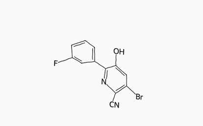 N#Cc1nc(-c2cccc(F)c2)c(O)cc1Br